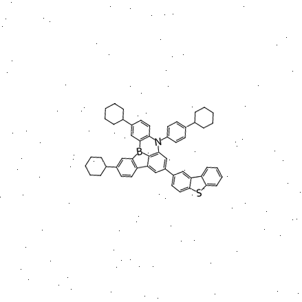 c1ccc2c(c1)sc1ccc(-c3cc4c5c(c3)N(c3ccc(C6CCCCC6)cc3)c3ccc(C6CCCCC6)cc3B5c3cc(C5CCCCC5)ccc3-4)cc12